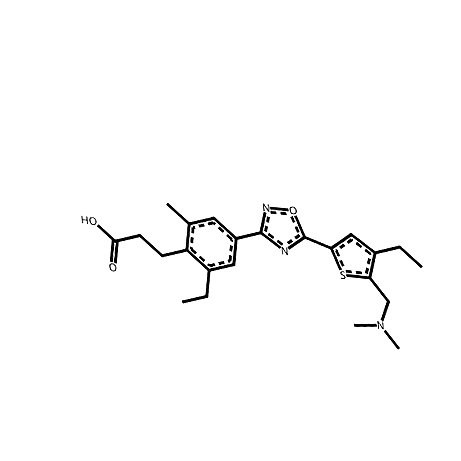 CCc1cc(-c2nc(-c3cc(C)c(CCC(=O)O)c(CC)c3)no2)sc1CN(C)C